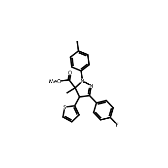 COC(=O)C1(C)C(c2cccs2)C(c2ccc(F)cc2)=NN1c1ccc(C)cc1